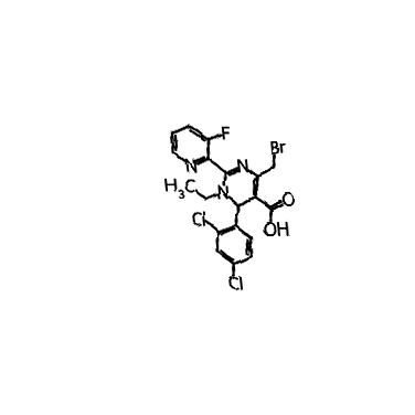 CCN1C(c2ncccc2F)=NC(CBr)=C(C(=O)O)C1c1ccc(Cl)cc1Cl